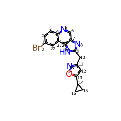 Brc1ccc2ncc3nc(Cc4cc(C5CC5)on4)[nH]c3c2c1